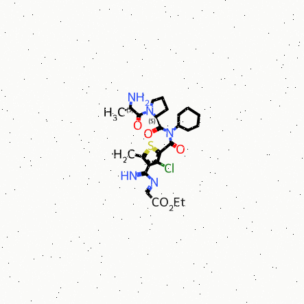 [CH2]c1sc(C(=O)N(C(=O)[C@@H]2CCCN2C(=O)[C@H](C)N)C2CCCCC2)c(Cl)c1C(=N)N=CC(=O)OCC